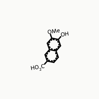 COc1cc2cc(C(=O)O)ccc2cc1O